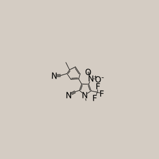 Cc1ccc(-c2c([N+](=O)[O-])c(C(F)(F)F)n(C)c2C#N)cc1C#N